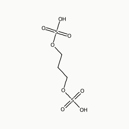 O=S(=O)(O)OCCCOS(=O)(=O)O